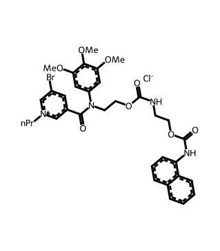 CCC[n+]1cc(Br)cc(C(=O)N(CCOC(=O)NCCOC(=O)Nc2cccc3ccccc23)c2cc(OC)c(OC)c(OC)c2)c1.[Cl-]